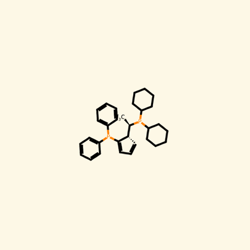 C[C@H]([C@@H]1C=CC=C1P(c1ccccc1)c1ccccc1)P(C1CCCCC1)C1CCCCC1